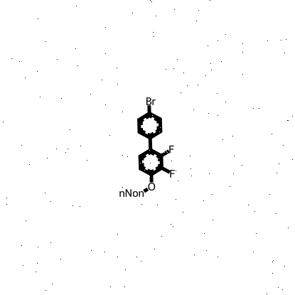 CCCCCCCCCOc1ccc(-c2ccc(Br)cc2)c(F)c1F